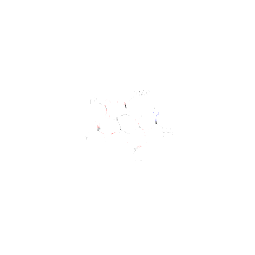 COC(=O)[C@H]1OC(OC(=N)C(Cl)(Cl)Cl)[C@H](OC(=O)C(C)C)[C@@H](OC(=O)C(C)C)[C@@H]1OC(=O)C(C)C